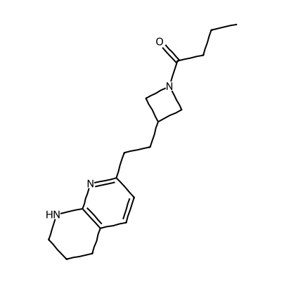 CCCC(=O)N1CC(CCc2ccc3c(n2)NCCC3)C1